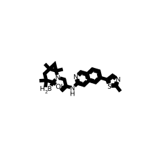 BC1(O)N(CC(=C)Nc2cc3cc(-c4cnc(C)s4)ccc3cn2)C2(C)CC2(C)CC1(C)C